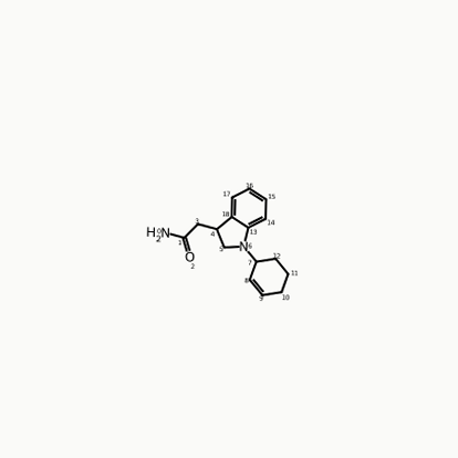 NC(=O)CC1CN(C2C=CCCC2)c2ccccc21